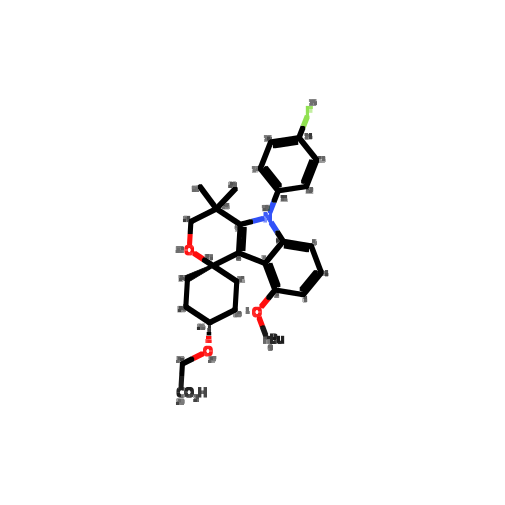 CCCCOc1cccc2c1c1c(n2-c2ccc(F)cc2)C(C)(C)CO[C@]12CC[C@@H](OCC(=O)O)CC2